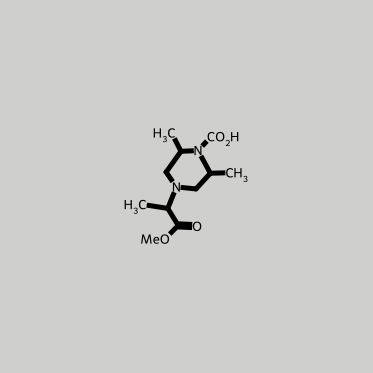 COC(=O)C(C)N1CC(C)N(C(=O)O)C(C)C1